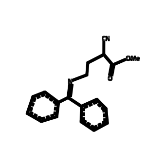 COC(=O)C(C#N)CCN=C(c1ccccc1)c1ccccc1